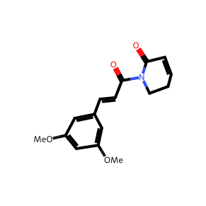 COc1cc(/C=C/C(=O)N2CCC=CC2=O)cc(OC)c1